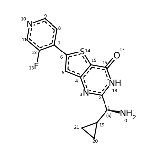 N[C@H](c1nc2cc(-c3ccncc3F)sc2c(=O)[nH]1)C1CC1